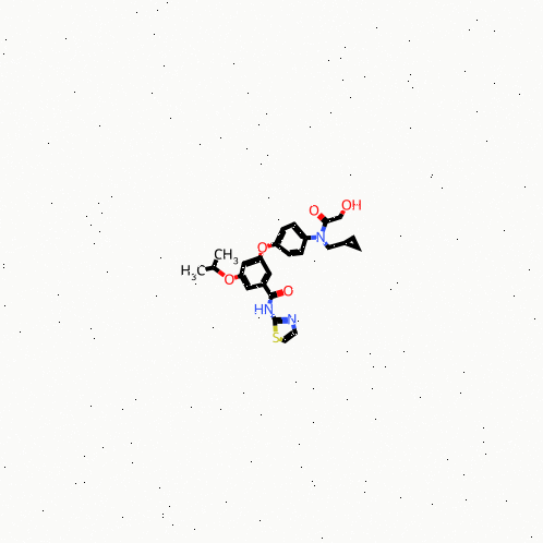 CC(C)Oc1cc(Oc2ccc(N(CC3CC3)C(=O)CO)cc2)cc(C(=O)Nc2nccs2)c1